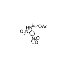 CC(=O)OCC[C@@H](C)Nc1ccc(N2CCCOC2=O)cc1[N+](=O)[O-]